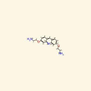 NCCOc1ccc2cc3ccc(OCCN)cc3nc2c1